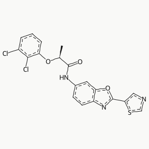 C[C@H](Oc1cccc(Cl)c1Cl)C(=O)Nc1ccc2nc(-c3cncs3)oc2c1